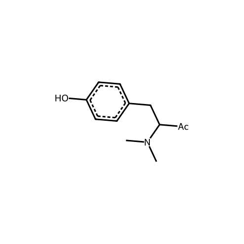 CC(=O)C(Cc1ccc(O)cc1)N(C)C